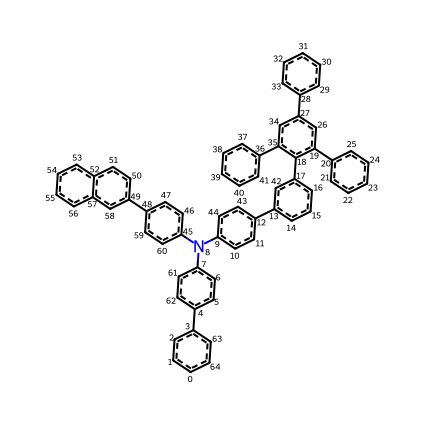 c1ccc(-c2ccc(N(c3ccc(-c4cccc(-c5c(-c6ccccc6)cc(-c6ccccc6)cc5-c5ccccc5)c4)cc3)c3ccc(-c4ccc5ccccc5c4)cc3)cc2)cc1